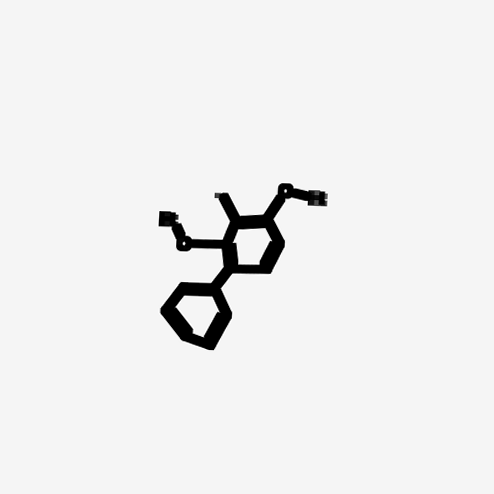 [CH2]c1c(OCC)ccc(-c2ccccc2)c1OCC